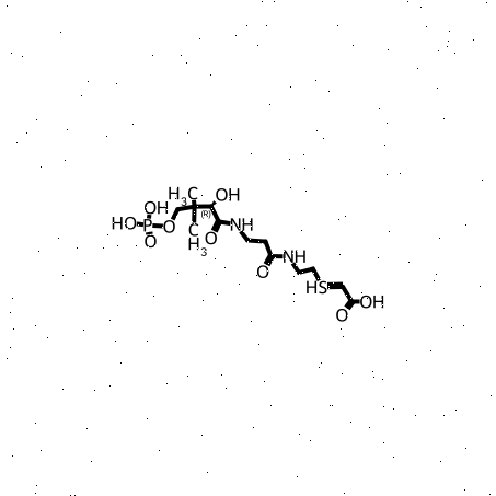 CC(C)(COP(=O)(O)O)[C@@H](O)C(=O)NCCC(=O)NCC[SH]=CC(=O)O